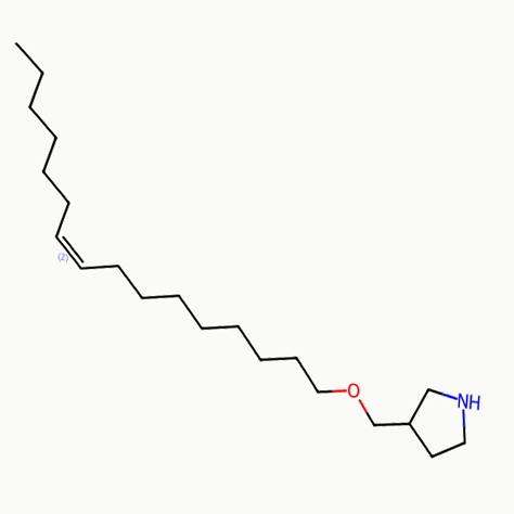 CCCCCC/C=C\CCCCCCCCOCC1CCNC1